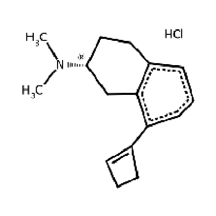 CN(C)[C@@H]1CCc2cccc(C3=CCC3)c2C1.Cl